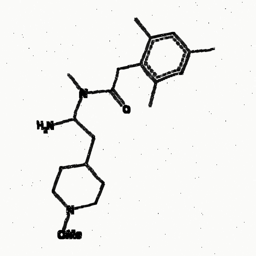 CON1CCC(CC(N)N(C)C(=O)Cc2c(C)cc(C)cc2C)CC1